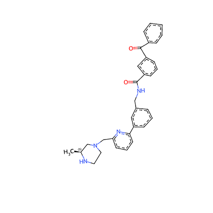 C[C@H]1CN(Cc2cccc(-c3cccc(CNC(=O)c4cccc(C(=O)c5ccccc5)c4)c3)n2)CCN1